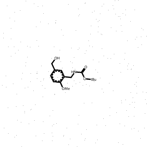 COc1ccc(CO)cc1CNC(=O)OC(C)(C)C